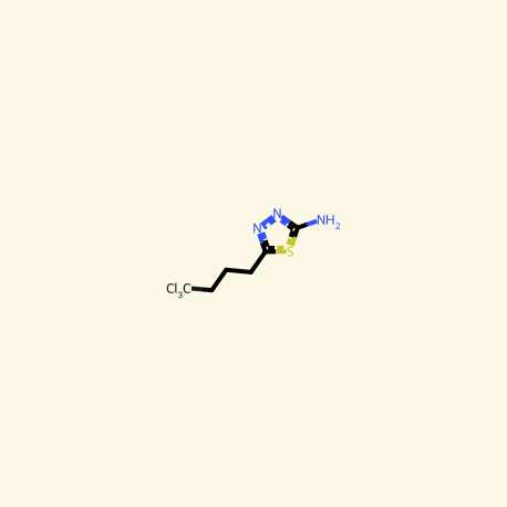 Nc1nnc(CCCC(Cl)(Cl)Cl)s1